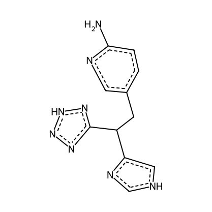 Nc1ccc(CC(c2c[nH]cn2)c2nn[nH]n2)cn1